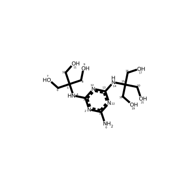 Nc1nc(NC(CO)(CO)CO)nc(NC(CO)(CO)CO)n1